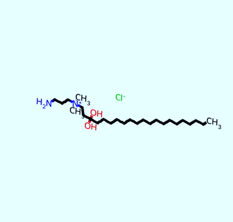 CCCCCCCCCCCCCCCCCCC(O)(O)CC[N+](C)(C)CCCN.[Cl-]